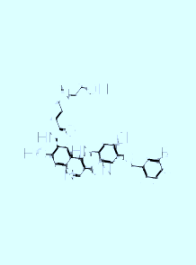 CN(C/C=C/C(=O)Nc1cc2c(Nc3ccc(OCc4cccc(F)c4)c(Cl)c3)c(C#N)cnc2cc1O)CCO